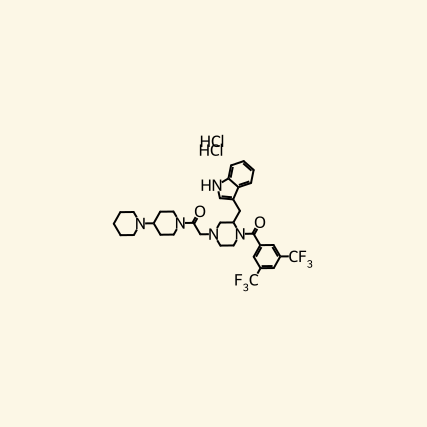 Cl.Cl.O=C(CN1CCN(C(=O)c2cc(C(F)(F)F)cc(C(F)(F)F)c2)C(Cc2c[nH]c3ccccc23)C1)N1CCC(N2CCCCC2)CC1